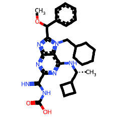 COC(c1ccccc1)c1nc2nc(C(=N)NC(=O)O)nc(N[C@H](C)C3CCC3)c2n1CC1CCCCC1